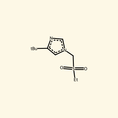 CCS(=O)(=O)Cn1cnc(C(C)(C)C)c1